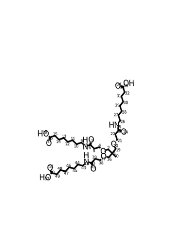 CC(COCCC(=O)NCCCCCCCC(=O)O)(COCCC(=O)NCCCCCCCC(=O)O)COCCC(=O)NCCCCCCCC(=O)O